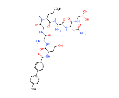 CCCCc1ccc(-c2ccc(C(=O)N[C@H](CCO)C(=O)N[C@H](N)C(=O)NCC(=O)N(C)[C@@H](CCC(=O)O)C(=O)N[C@@H](N)C(=O)N[C@@H](CC(N)=O)C(=O)NCB(O)O)cc2)cc1